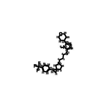 Cn1c(SCCCN2CCC3(C[C@H]3c3ccc(C(F)(F)F)cc3)C2)nnc1C1CCOCC1